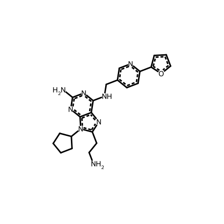 NCCc1nc2c(NCc3ccc(-c4ccco4)nc3)nc(N)nc2n1C1CCCC1